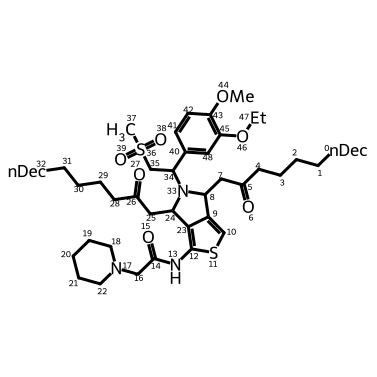 CCCCCCCCCCCCCCC(=O)CC1c2csc(NC(=O)CN3CCCCC3)c2C(CC(=O)CCCCCCCCCCCCCC)N1C(CS(C)(=O)=O)c1ccc(OC)c(OCC)c1